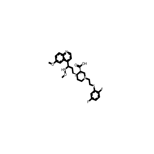 CONC(CC[C@@H]1CCN(CCSc2cc(F)ccc2F)C[C@@H]1C(=O)O)c1ccnc2ccc(OC)cc12